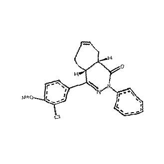 COc1ccc(C2=NN(c3ccccc3)C(=O)[C@H]3CC=CC[C@@H]23)cc1Cl